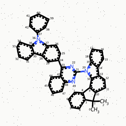 CC1(C)c2ccccc2-c2c1ccc1c3ccccc3n(-c3nc(-c4ccc5c(c4)c4ccccc4n5-c4ccccc4)c4ccccc4n3)c21